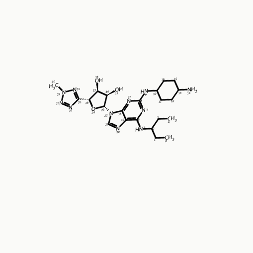 CCC(CC)Nc1nc(NC2CCC(N)CC2)nc2c1ncn2[C@@H]1O[C@H](c2nnn(C)n2)[C@@H](O)[C@H]1O